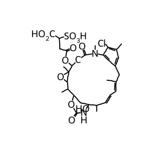 C/C1=C\C=C\C(C)C2(O)CC(OC(=O)N2)C(C)C2OC2(C)C(OC(=O)CC(C(=O)O)S(=O)(=O)O)CC(=O)N(C)c2cc(cc(C)c2Cl)C1